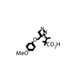 COc1ccc(OCc2cnnn2C(C)C(C)(C)C(=O)O)cc1